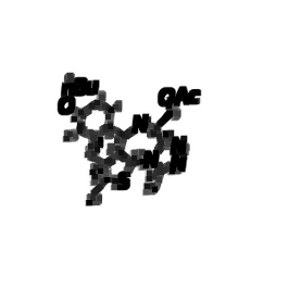 CCCCOc1ccc(C2=N[C@@H](COC(C)=O)c3nnc(C)n3-c3sc(C)c(C)c32)cc1